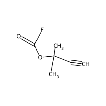 C#CC(C)(C)OC(=O)F